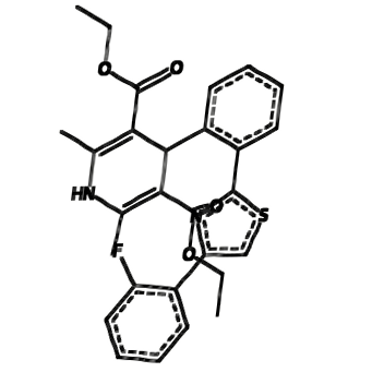 CCOC(=O)C1=C(C)NC(C)=C(C(=O)OCC)C1c1ccccc1-c1nc(-c2ccccc2F)cs1